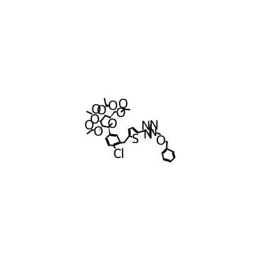 CC(=O)OC[C@H]1O[C@@H](c2ccc(Cl)c(Cc3ccc(-c4nnn(COCc5ccccc5)n4)s3)c2)[C@H](OC(C)=O)[C@@H](OC(C)=O)[C@@H]1OC(C)=O